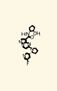 O=C(N[C@H]1CCC[C@H]1O)c1cnn2ccc(N3CCC[C@@H]3c3cncc(F)c3)nc12